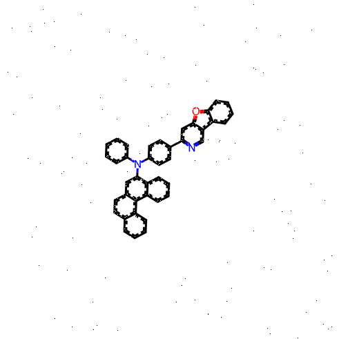 c1ccc(N(c2ccc(-c3cc4oc5ccccc5c4cn3)cc2)c2cc3ccc4ccccc4c3c3ccccc23)cc1